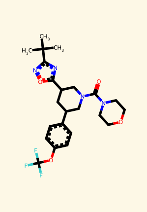 CC(C)(C)c1noc(C2CC(c3ccc(OC(F)(F)F)cc3)CN(C(=O)N3CCOCC3)C2)n1